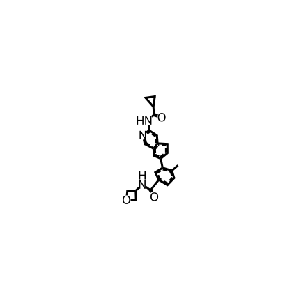 Cc1ccc(C(=O)NC2COC2)cc1-c1ccc2cc(NC(=O)C3CC3)ncc2c1